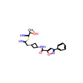 CC(O)C(=N)SC(=N)C[C@H]1C[C@@H](NC(=O)c2cc(-c3ccccc3)no2)C1